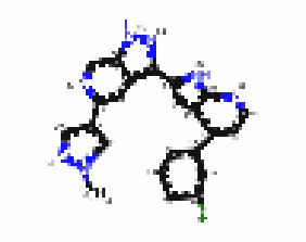 Cn1cc(-c2cc3c(-c4cc5c(-c6cccc(F)c6)ccnc5[nH]4)n[nH]c3cn2)cn1